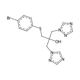 OC(CSc1ccc(Br)cc1)(Cn1cncn1)Cn1cncn1